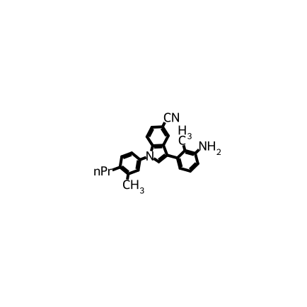 CCCc1ccc(-n2cc(-c3cccc(N)c3C)c3cc(C#N)ccc32)cc1C